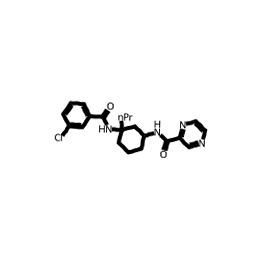 CCCC1(NC(=O)c2cccc(Cl)c2)CCCC(NC(=O)c2cnccn2)C1